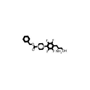 N[C@@H](CO)Cc1c(F)c(F)c(N2CCN(C(=O)OCc3ccccc3)CC2)c(F)c1F